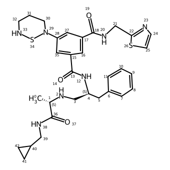 C[C@H](NC[C@H](Cc1ccccc1)NC(=O)c1cc(C(=O)NCc2nccs2)cc(N2CCCNS2)c1)C(=O)NCC1CC1